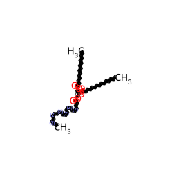 CC/C=C\C/C=C\C/C=C\C/C=C\C/C=C\C/C=C\CCC(=O)OC[C@H](COC(=O)CCCCCCCCCCCCCC)OC(=O)CCCCCCCCCCCCCCC